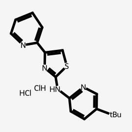 CC(C)(C)c1ccc(Nc2nc(-c3ccccn3)cs2)nc1.Cl.Cl